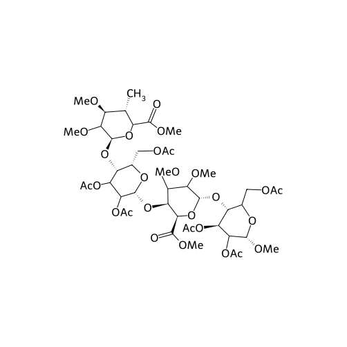 COC(=O)C1O[C@@H](O[C@H]2C(OC(C)=O)C(OC(C)=O)[C@@H](O[C@H]3C(OC)C(OC)[C@H](O[C@@H]4C(COC(C)=O)O[C@H](OC)C(OC(C)=O)[C@H]4OC(C)=O)O[C@H]3C(=O)OC)O[C@H]2COC(C)=O)C(OC)[C@@H](OC)[C@@H]1C